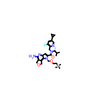 CC(C)[C@@H](C)N(Cc1ncc(C2CC2)cc1F)C(=O)c1cc2nc(N)c3c(c2n1COCC[Si](C)(C)C)COC3